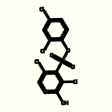 O=S(=O)(Oc1ccc(Cl)cc1Cl)c1c(Cl)ccc(O)c1Cl